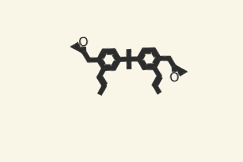 CC=Cc1cc(C(C)(C)c2ccc(CC3CO3)c(C=CC)c2)ccc1CC1CO1